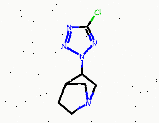 Clc1nnn(C2CN3CCC2C3)n1